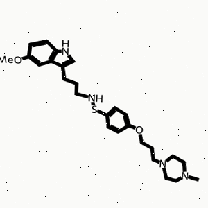 COc1ccc2[nH]cc(CCCNSc3ccc(OCCCN4CCN(C)CC4)cc3)c2c1